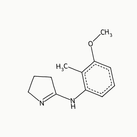 COc1cccc(NC2=NCCC2)c1C